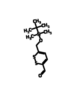 CC(C)(C)[Si](C)(C)OCC1=CC=C(C=O)SS1